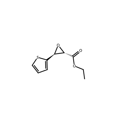 CCOC(=O)[C@H]1O[C@@H]1c1cccs1